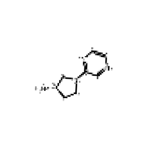 N[C@H]1CCN(c2cnccn2)C1